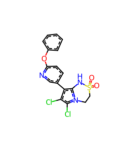 O=S1(=O)CCn2c(Cl)c(Cl)c(-c3ccc(Oc4ccccc4)nc3)c2N1